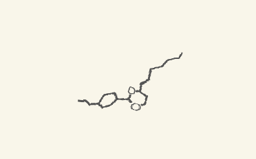 CCCCCCCC1CCOC(C2CCC(CCC)CC2)O1